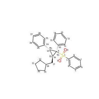 O=S(=O)(c1ccccc1)[C@@]1(c2ccccc2)[C@@H](CC2CCCC2)[C@@H]1c1ccccc1